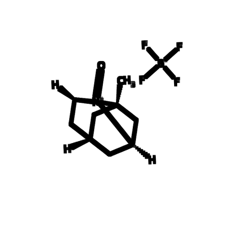 C[C@]12C[C@@H]3C[C@@H](C[C@H](C3)[N+]1=O)C2.F[B-](F)(F)F